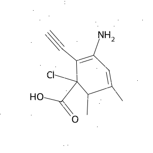 C#CC1=C(N)C=C(C)C(C)C1(Cl)C(=O)O